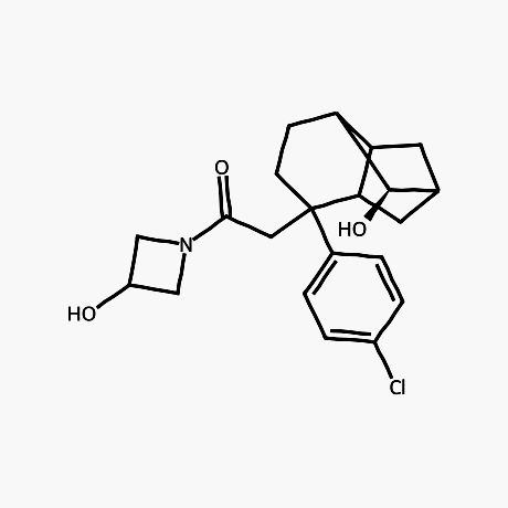 O=C(CC1(c2ccc(Cl)cc2)CCC2C3CC(CC31)[C@H]2O)N1CC(O)C1